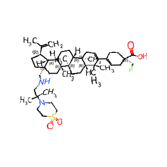 C=C(C)[C@@H]1CC[C@]2(CNCC(C)(C)N3CCS(=O)(=O)CC3)CC[C@]3(C)[C@H](CC[C@@H]4[C@@]5(C)CC=C(C6=CC[C@](CF)(C(=O)O)CC6)C(C)(C)[C@@H]5CC[C@]43C)[C@@H]12